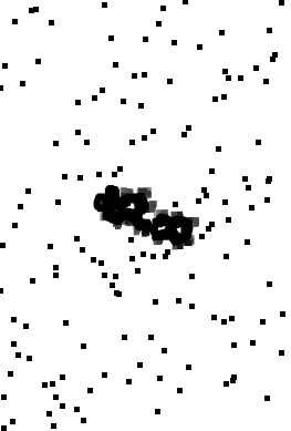 O=S1(=O)C=Cc2c(CN3Cc4ccccc4C3)cccc21